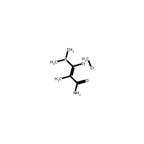 CC/C(=C(/C)C(N)=O)N(C)C.CCl